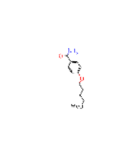 COCCCCOc1ccc(C(N)=O)cc1